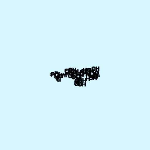 CC(=Cc1ccc(OC2OC(C(C)=CCOc3ccc(F)cc3Cl)C(O)C2O)c(OP(=O)(O)O)c1)C(=O)NC1C(O)C(O)C2OCOC2C1O